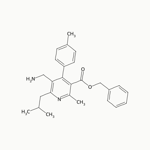 Cc1ccc(-c2c(CN)c(CC(C)C)nc(C)c2C(=O)OCc2ccccc2)cc1